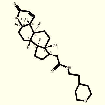 C[C@]12C=CC(=O)N[C@@H]1CC[C@@H]1[C@@H]2CC[C@]2(C)[C@@H](CC(=O)NCCC3CCOCC3)CC[C@@H]12